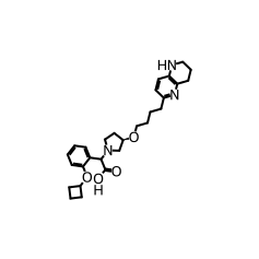 O=C(O)C(c1ccccc1OC1CCC1)N1CC[C@@H](OCCCCc2ccc3c(n2)CCCN3)C1